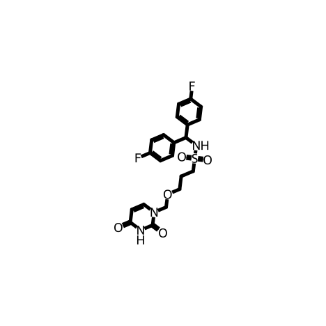 O=c1ccn(COCCCS(=O)(=O)NC(c2ccc(F)cc2)c2ccc(F)cc2)c(=O)[nH]1